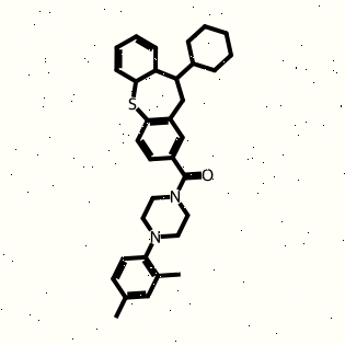 Cc1ccc(N2CCN(C(=O)c3ccc4c(c3)CC(C3CCCCC3)C3C=CC=CC3S4)CC2)c(C)c1